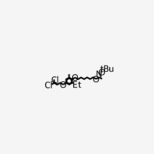 CCc1cc(OCC=C(Cl)Cl)cc(C)c1OCCCCCCOC(C)=NOC(C)(C)C